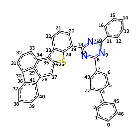 c1ccc(-c2ccc(-c3nc(-c4ccccc4)nc(-c4cccc5c4sc4cc6c7c(cccc7c45)-c4ccccc4-6)n3)cc2)cc1